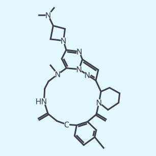 C=C1CCc2ccc(C)cc2C(=C)N2CCCCC2c2cc3nc(N4CC(N(C)C)C4)cc(n3n2)N(C)CCN1